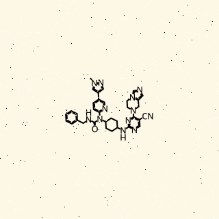 Cn1cc(-c2ccc(N(C(=O)NCc3ccccc3)C3CCC(Nc4ncc(C#N)c(N5CCn6cncc6C5)n4)CC3)nc2)cn1